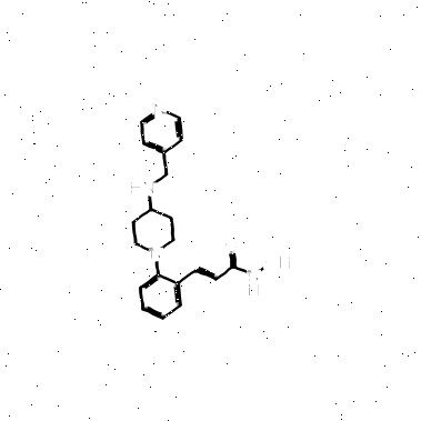 O=C(C=Cc1ccccc1N1CCC(NCc2ccncc2)CC1)NO